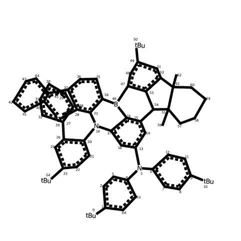 CC(C)(C)c1ccc(N(c2ccc(C(C)(C)C)cc2)c2cc3c4c(c2)N(c2ccc(C(C)(C)C)cc2-c2ccccc2)c2c(ccc5c2oc2ccccc25)B4c2cc(C(C)(C)C)cc4c2C3C2(C)CCCCC42C)cc1